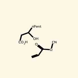 C=CC(=O)OC#N.CCCCCC(O)CC(=O)O